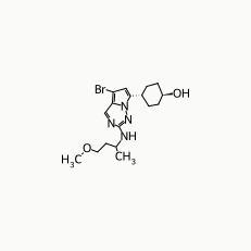 COCCC(C)Nc1ncc2c(Br)cc([C@H]3CC[C@H](O)CC3)n2n1